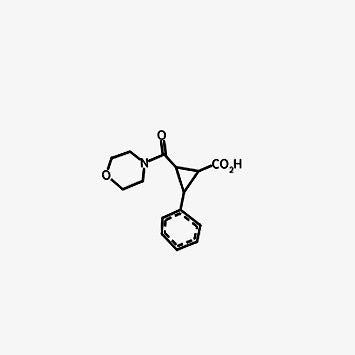 O=C(O)C1C(C(=O)N2CCOCC2)C1c1ccccc1